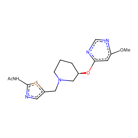 COc1cc(O[C@@H]2CCCN(Cc3cnc(NC(C)=O)s3)C2)ncn1